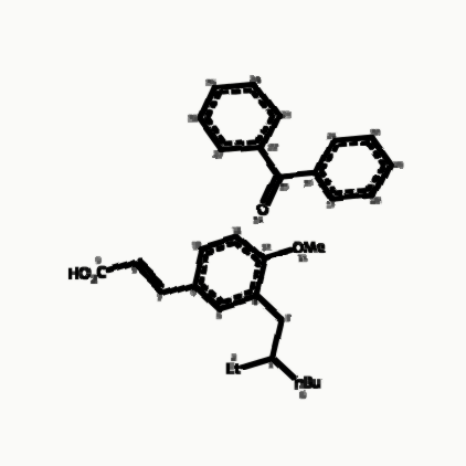 CCCCC(CC)Cc1cc(C=CC(=O)O)ccc1OC.O=C(c1ccccc1)c1ccccc1